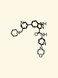 O=C(Nc1ccc(N2CCOCC2)nc1)c1n[nH]c2ccc(-c3cncc(CN4CCCCC4)c3)cc12